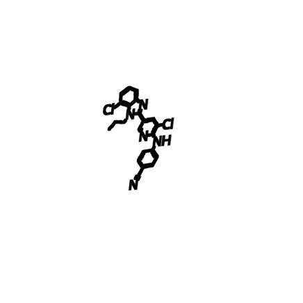 CCCn1c(-c2cnc(Nc3ccc(C#N)cc3)c(Cl)c2)nc2cccc(Cl)c21